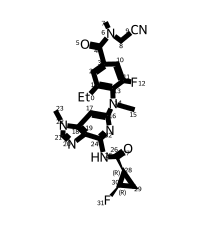 CCc1cc(C(=O)N(C)CC#N)cc(F)c1N(C)c1cc2c(ncn2C)c(NC(=O)[C@H]2C[C@H]2F)n1